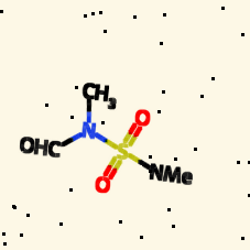 CNS(=O)(=O)N(C)C=O